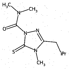 CC(C)Cc1nn(C(=O)N(C)C)c(=S)n1C